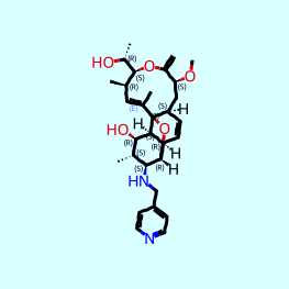 C=C1O[C@H]([C@@H](C)O)[C@H](C)/C=C(\C)[C@]23O[C@@H]4[C@H](C=C[C@@H]2C[C@@H]1OC)[C@H]3[C@H](O)[C@@H](C)[C@@H]4NCc1ccncc1